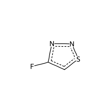 Fc1csnn1